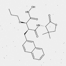 CCCO[C@@H](C(=O)NO)[C@H](Cc1ccc2ccccc2c1)C(=O)N[C@@H]1C(=O)OCC1(C)C